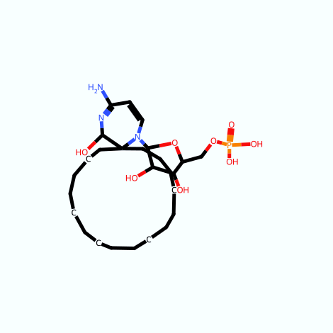 NC1=NC(O)C2(CCCCCCCCCCCCCCCC2)N(C2OC(COP(=O)(O)O)C(O)C2O)C=C1